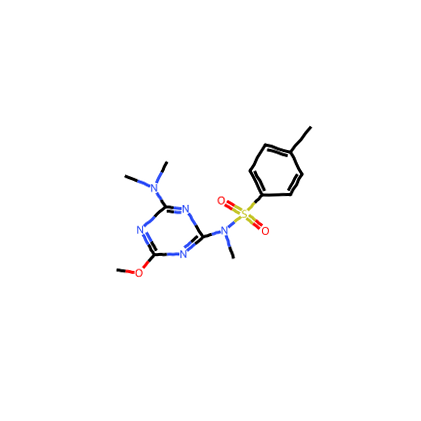 COc1nc(N(C)C)nc(N(C)S(=O)(=O)c2ccc(C)cc2)n1